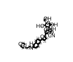 C/C(=C(/C#N)S(=O)(=O)N[C@H]1C(O)O[C@H](CO)[C@@H](O)[C@@H]1O)c1ccc(-c2ccc3cc(NCCN4CCOCC4)ccc3c2)o1